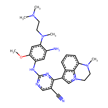 COc1cc(N(C)CCN(C)C)c(N)cc1Nc1ncc(C#N)c(-c2cn3c4c(cccc24)N(C)CC3)n1